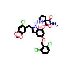 Clc1cc2c(cc1Cc1cc3cc(OCc4c(Cl)cccc4Cl)ccc3[nH]1)OCO2.NC(=O)[C@]1(C(=O)O)CCCN1